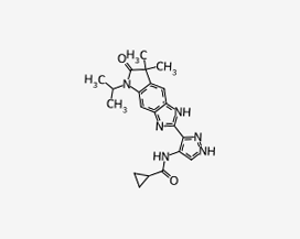 CC(C)N1C(=O)C(C)(C)c2cc3[nH]c(-c4n[nH]cc4NC(=O)C4CC4)nc3cc21